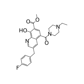 CCN1CCN(C(=O)c2cc(C(=O)OC)c(O)c3ncc(Cc4ccc(F)cc4)cc23)CC1